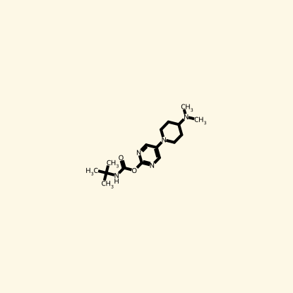 CN(C)C1CCN(c2cnc(OC(=O)NC(C)(C)C)nc2)CC1